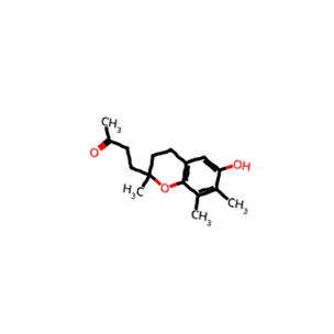 CC(=O)CCC1(C)CCc2cc(O)c(C)c(C)c2O1